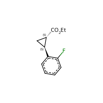 CCOC(=O)[C@H]1C[C@@H]1c1ccccc1F